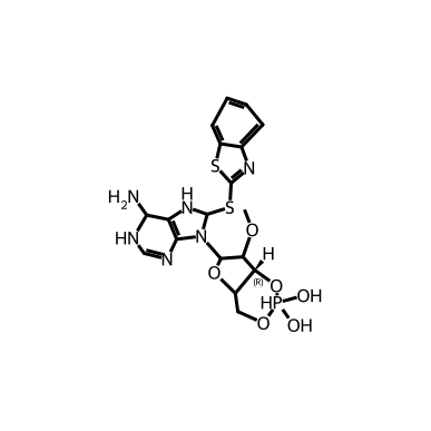 COC1C(N2C3=C(NC2Sc2nc4ccccc4s2)C(N)NC=N3)OC2CO[PH](O)(O)O[C@H]21